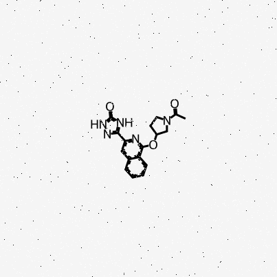 CC(=O)N1CCC(Oc2nc(-c3n[nH]c(=O)[nH]3)cc3ccccc23)C1